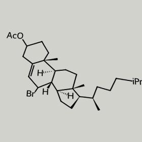 CC(=O)OC1CC[C@@]2(C)C(=CC(Br)[C@H]3[C@@H]4CC[C@H]([C@H](C)CCCC(C)C)[C@@]4(C)CC[C@@H]32)C1